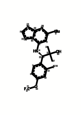 CC(C)(C)c1cc(N[C@@H](c2ccc(OC(F)(F)F)cc2F)C(C)(C)O)n2ncnc2n1